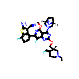 CCN1CC/C(=C\F)[C@](C)(COc2nc(N3C[C@H]4CC[C@@H](C3)N4)c3c(OC)nc(-c4ccc(F)c5sc(N)c(C#N)c45)c(F)c3n2)C1